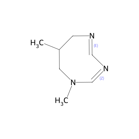 CC1C/N=C/N=C\N(C)C1